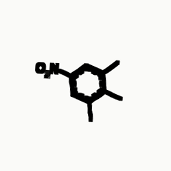 Cc1cc([N+](=O)[O-])cc(C)c1C